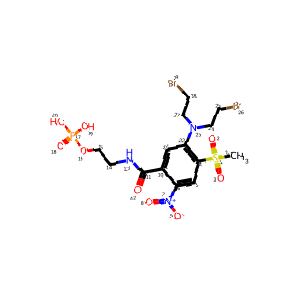 CS(=O)(=O)c1cc([N+](=O)[O-])c(C(=O)NCCOP(=O)(O)O)cc1N(CCBr)CCBr